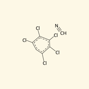 C#N.Clc1cc(Cl)c(Cl)c(Cl)c1Cl